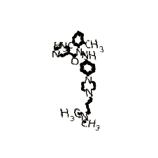 Cc1cccc(C)c1N(Nc1ccc(N2CCN(CCCN(C)C)CC2)cc1)C(=O)c1cncnc1